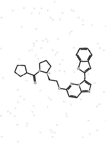 O=C(C1CCCC1)N1CCC[C@H]1CCOc1ccc2ncc(-c3cc4ccccc4o3)n2n1